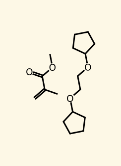 C1CCC(OCCOC2CCCC2)C1.C=C(C)C(=O)OC